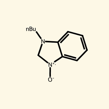 CCCCN1C[N+]([O-])c2ccccc21